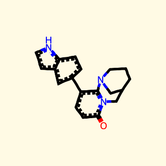 O=c1ccc(-c2ccc3[nH]ccc3c2)c2n1CC1CCCN2C1